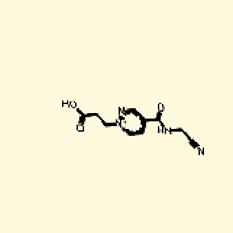 N#CCNC(=O)c1cc[n+](CCC(=O)O)nc1